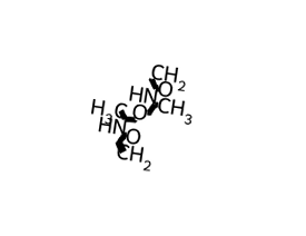 C=CC(=O)NC(C)COCC(C)NC(=O)C=C